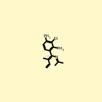 C=C/C(C)=C(\N=C(C)C)c1ccc(P)c(CC)c1P